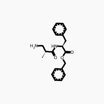 C[C@H](CN)C(=O)N[C@@H](Cc1ccccc1)C(=O)OCc1ccccc1